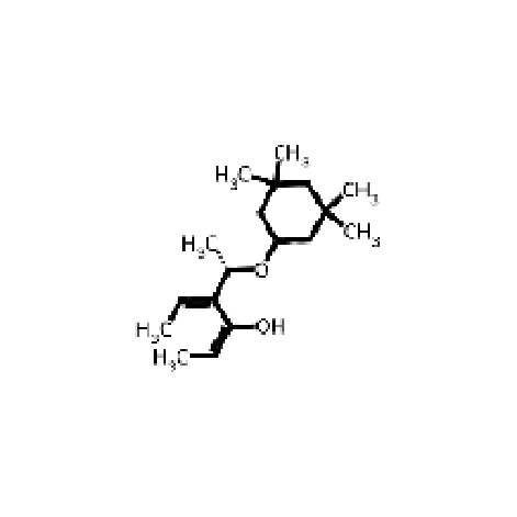 C/C=C(\C(O)=C/C)[C@H](C)OC1CC(C)(C)CC(C)(C)C1